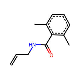 C=CCNC(=O)c1c(C)cccc1C